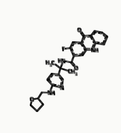 CC(C)(NC(=O)c1cc2[nH]c3ccccc3c(=O)c2cc1F)c1ccc(NCC2CCCO2)nc1